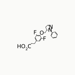 O=C(O)CCc1cc(F)c(OCC2CC=NN2c2ccccc2)c(F)c1